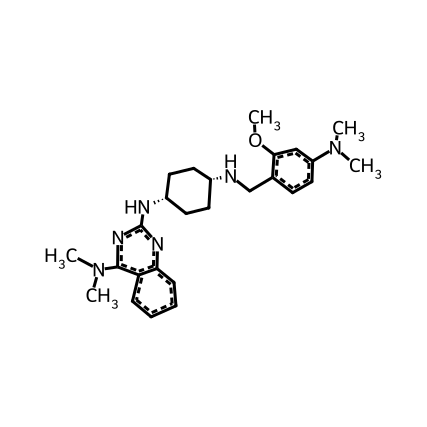 COc1cc(N(C)C)ccc1CN[C@H]1CC[C@@H](Nc2nc(N(C)C)c3ccccc3n2)CC1